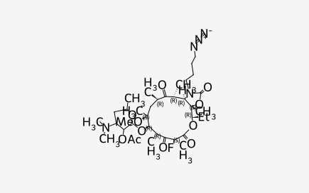 CC[C@H]1OC(=O)[C@@](C)(F)C(=O)[C@H](C)[C@@H](OC2OC(C)CC(N(C)C)C2OC(C)=O)[C@@](C)(OC)C[C@@H](C)C(=O)[C@H](C)[C@H]2N(CCCCN=[N+]=[N-])C(=O)O[C@]12C